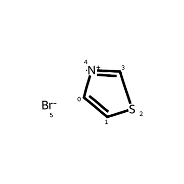 C1=CSC=[N+]1.[Br-]